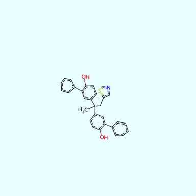 CC(Cc1cncs1)(c1ccc(O)c(-c2ccccc2)c1)c1ccc(O)c(-c2ccccc2)c1